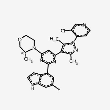 Cc1nn(-c2ccncc2Cl)c(C)c1-c1cc(N2CCOC[C@H]2C)nc(-c2cc(F)cc3[nH]ccc23)n1